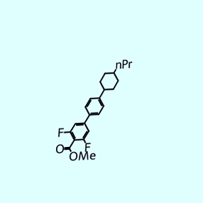 CCCC1CCC(c2ccc(-c3cc(F)c(C(=O)OC)c(F)c3)cc2)CC1